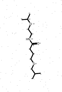 CC(C)COCCCC(=O)NCCOC(C)C